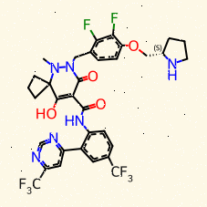 CN1N(Cc2ccc(OC[C@@H]3CCCN3)c(F)c2F)C(=O)C(C(=O)Nc2ccc(C(F)(F)F)cc2-c2cc(C(F)(F)F)ncn2)=C(O)C12CCC2